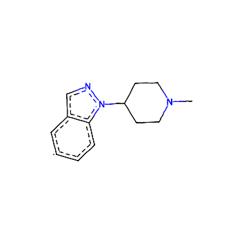 CN1CCC(n2ncc3c[c]ccc32)CC1